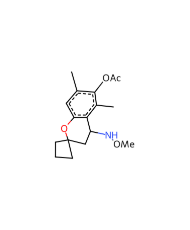 CONC1CC2(CCC2)Oc2cc(C)c(OC(C)=O)c(C)c21